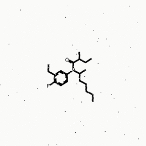 CCCCCC(C)N(C(=O)C(C)CC)c1ccc(F)c(CC)c1